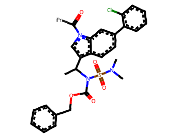 CC(C)C(=O)n1cc(C(C)N(C(=O)OCc2ccccc2)S(=O)(=O)N(C)C)c2ccc(-c3ccccc3Cl)cc21